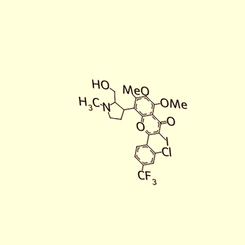 COc1cc(OC)c2c(=O)c(I)c(-c3ccc(C(F)(F)F)cc3Cl)oc2c1C1CCN(C)C1CO